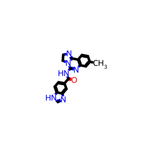 Cc1ccc2c(c1)N=C(NC(=O)c1ccc3[nH]cnc3c1)N1CCN=C21